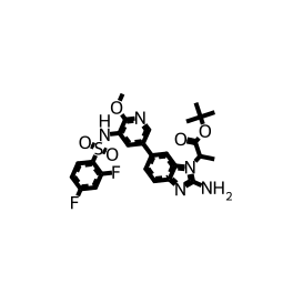 COc1ncc(-c2ccc3nc(N)n(C(C)C(=O)OC(C)(C)C)c3c2)cc1NS(=O)(=O)c1ccc(F)cc1F